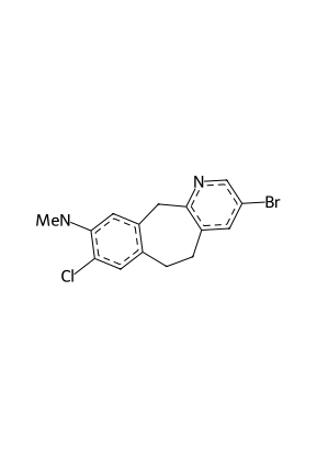 CNc1cc2c(cc1Cl)CCc1cc(Br)cnc1C2